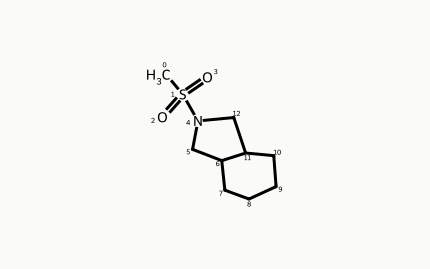 CS(=O)(=O)N1CC2CCCCC2C1